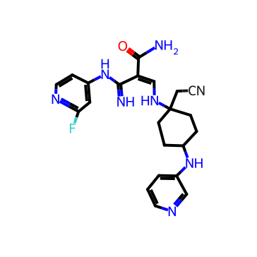 N#CCC1(N/C=C(\C(=N)Nc2ccnc(F)c2)C(N)=O)CCC(Nc2cccnc2)CC1